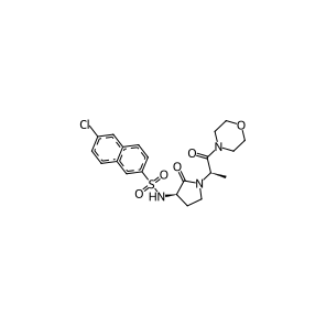 C[C@H](C(=O)N1CCOCC1)N1CC[C@@H](NS(=O)(=O)c2ccc3cc(Cl)ccc3c2)C1=O